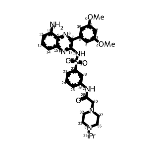 COc1cc(OC)cc(-c2nc3c(N)cccc3nc2NS(=O)(=O)c2cccc(NC(=O)CN3CCN(C(C)C)CC3)c2)c1